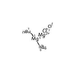 CCC[CH2][Mg][CH2]CCC.[Cl-].[Cl-].[Mg+2]